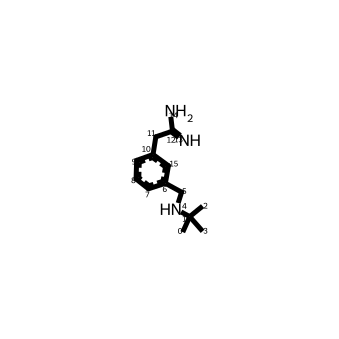 CC(C)(C)NCc1cccc(CC(=N)N)c1